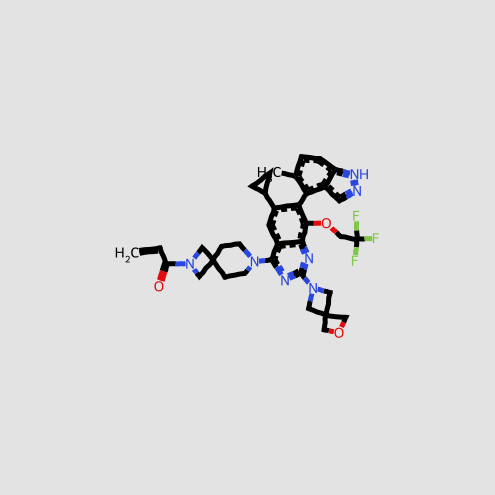 C=CC(=O)N1CC2(CCN(c3nc(N4CC5(COC5)C4)nc4c(OCC(F)(F)F)c(-c5c(C)ccc6[nH]ncc56)c(C5CC5)cc34)CC2)C1